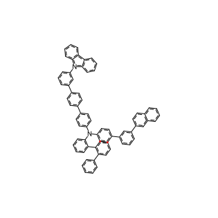 c1ccc(-c2ccccc2-c2ccccc2N(c2ccc(-c3ccc(-c4cccc(-n5c6ccccc6c6ccccc65)c4)cc3)cc2)c2ccc(-c3cccc(-c4ccc5ccccc5c4)c3)cc2)cc1